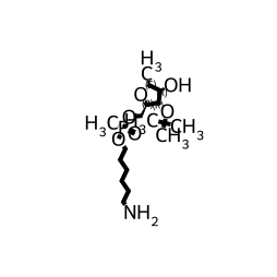 C[C@@H]1O[C@H](COP(C)(=O)OCCCCCCN)[C@H](OC(C)(C)C)[C@@H]1O